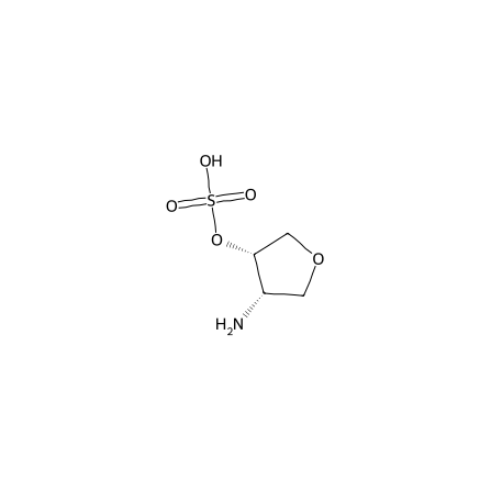 N[C@H]1COC[C@H]1OS(=O)(=O)O